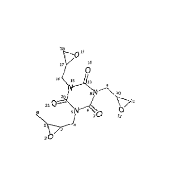 CC1OC1Cn1c(=O)n(CC2CO2)c(=O)n(CC2CO2)c1=O